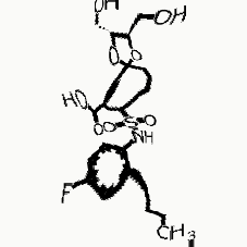 CCCCc1cc(F)ccc1NS(=O)(=O)C1CCC2(C=C1C(=O)O)O[C@H](CO)[C@@H](CO)O2